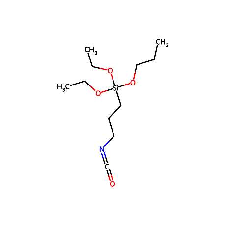 CCCO[Si](CCCN=C=O)(OCC)OCC